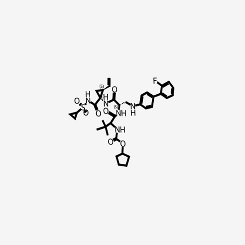 C=C[C@@H]1C[C@]1(NC(=O)[C@H](CNc1ccc(-c2ccccc2F)cc1)NC(=O)C(NC(=O)OC1CCCC1)C(C)(C)C)C(=O)NS(=O)(=O)C1CC1